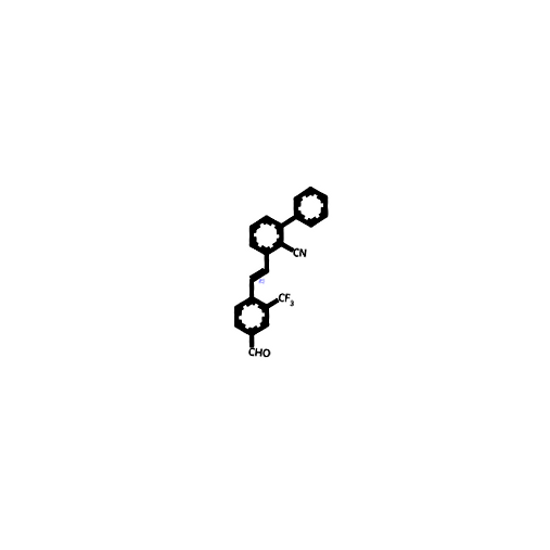 N#Cc1c(/C=C/c2ccc(C=O)cc2C(F)(F)F)cccc1-c1ccccc1